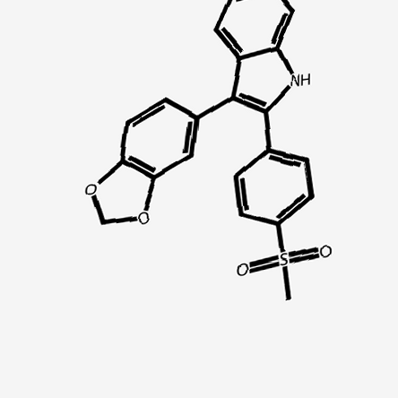 CS(=O)(=O)c1ccc(-c2[nH]c3ccccc3c2-c2ccc3c(c2)OCO3)cc1